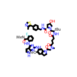 CNC(=O)c1c(F)cccc1Nc1nc(Nc2cc3c(cc2OC)CCN3C(=O)CN(C)C(=O)CCCC(=O)N[C@H](C(=O)N2C[C@H](O)C[C@H]2C(=O)NCc2ccc(-c3scnc3C)cc2)C(C)(C)C)nc2[nH]ccc12